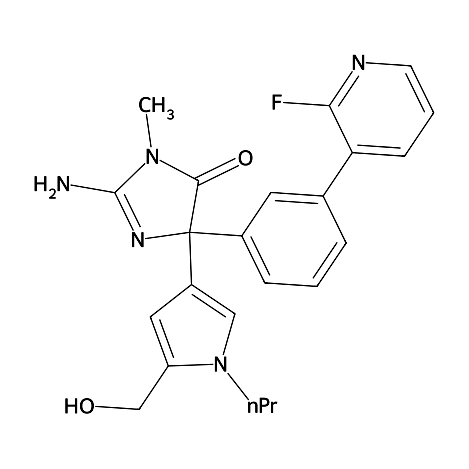 CCCn1cc(C2(c3cccc(-c4cccnc4F)c3)N=C(N)N(C)C2=O)cc1CO